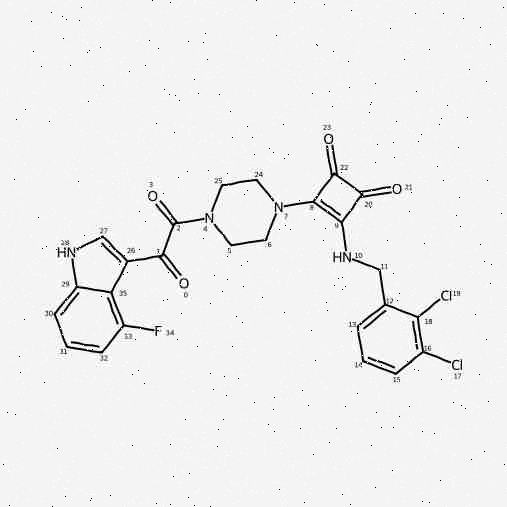 O=C(C(=O)N1CCN(c2c(NCc3cccc(Cl)c3Cl)c(=O)c2=O)CC1)c1c[nH]c2cccc(F)c12